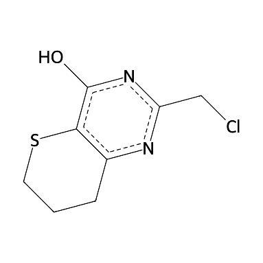 Oc1nc(CCl)nc2c1SCCC2